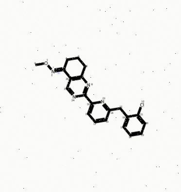 CO/N=C1\CCCc2nc(-c3cccc(Cc4ccccc4Cl)n3)ncc21